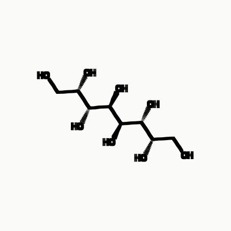 OC[C@H](O)[C@@H](O)[C@@H](O)[C@H](O)[C@H](O)[C@@H](O)CO